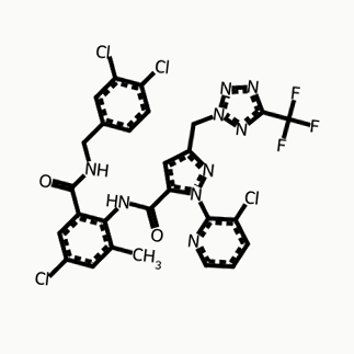 Cc1cc(Cl)cc(C(=O)NCc2ccc(Cl)c(Cl)c2)c1NC(=O)c1cc(Cn2nnc(C(F)(F)F)n2)nn1-c1ncccc1Cl